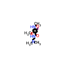 COc1cc(NC(C)=O)c(I)cc1C(=O)NCCN(C)C